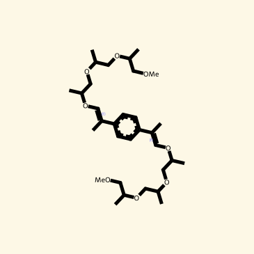 COCC(C)OCC(C)OCC(C)O/C=C(\C)c1ccc(/C(C)=C/OC(C)COC(C)COC(C)COC)cc1